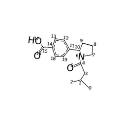 CC(C)CC(=O)N1CCCC1c1ccc(C(=O)O)cc1